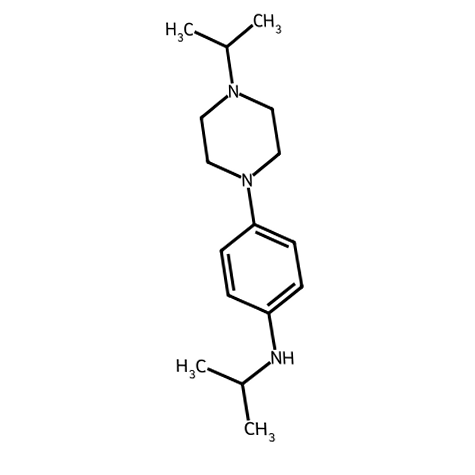 CC(C)Nc1ccc(N2CCN(C(C)C)CC2)cc1